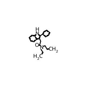 C=CCN(CC=C)C(=O)Cc1c(-c2ccccc2)[nH]c2ccccc12